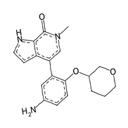 Cn1cc(-c2cc(N)ccc2OC2CCCOC2)c2cc[nH]c2c1=O